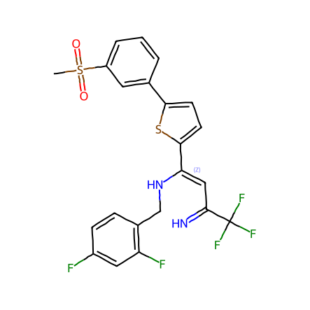 CS(=O)(=O)c1cccc(-c2ccc(/C(=C/C(=N)C(F)(F)F)NCc3ccc(F)cc3F)s2)c1